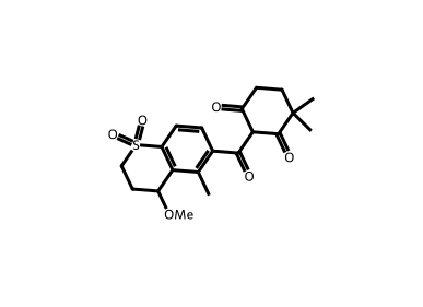 COC1CCS(=O)(=O)c2ccc(C(=O)C3C(=O)CCC(C)(C)C3=O)c(C)c21